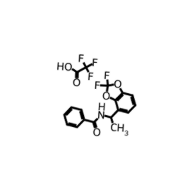 CC(NC(=O)c1ccccc1)c1cccc2c1OC(F)(F)O2.O=C(O)C(F)(F)F